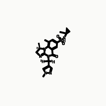 [2H]C([2H])(c1cnn(C)c1)N1C(=O)c2cc(S(=O)(=O)NC3(C)CC3)cc(C)c2N2C1=NC[C@H]2C